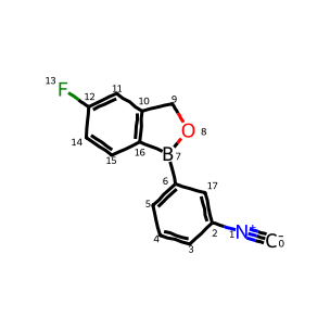 [C-]#[N+]c1cccc(B2OCc3cc(F)ccc32)c1